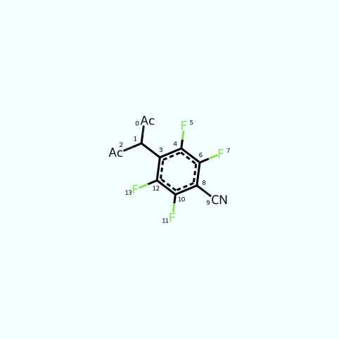 CC(=O)C(C(C)=O)c1c(F)c(F)c(C#N)c(F)c1F